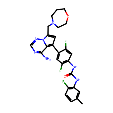 Cc1ccc(F)c(NC(=O)Nc2cc(F)c(-c3cc(CN4CCCOCC4)n4ncnc(N)c34)cc2F)c1